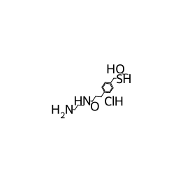 CC(O)=[SH]Cc1ccc(CCC(=O)NCCCN)cc1.Cl